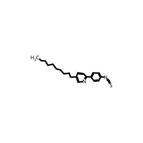 CCCCCCCCCCc1ccc(-c2ccc(N=C=S)cc2)nc1